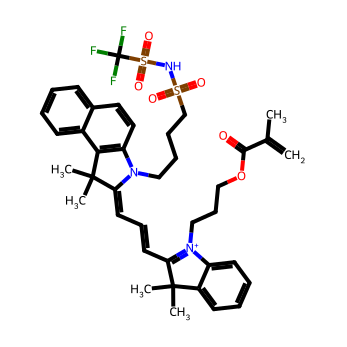 C=C(C)C(=O)OCCC[N+]1=C(C=CC=C2N(CCCCS(=O)(=O)NS(=O)(=O)C(F)(F)F)c3ccc4ccccc4c3C2(C)C)C(C)(C)c2ccccc21